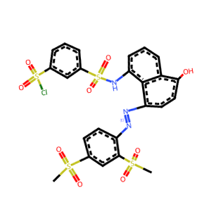 CS(=O)(=O)c1ccc(/N=N/c2ccc(O)c3cccc(NS(=O)(=O)c4cccc(S(=O)(=O)Cl)c4)c23)c(S(C)(=O)=O)c1